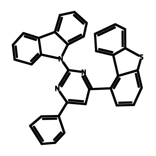 c1ccc(-c2cc(-c3cccc4sc5ccccc5c34)nc(-n3c4ccccc4c4ccccc43)n2)cc1